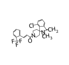 C=C1c2cccc(Cl)c2C2(CCN(C(=O)/C=C/c3ccccc3C(F)(F)F)CC2)N1C